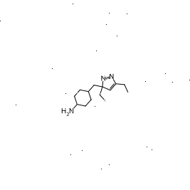 CCC1=CC(CC)(CC2CCC(N)CC2)N=N1